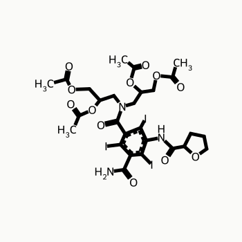 CC(=O)OCC(CN(CC(COC(C)=O)OC(C)=O)C(=O)c1c(I)c(NC(=O)C2CCCO2)c(I)c(C(N)=O)c1I)OC(C)=O